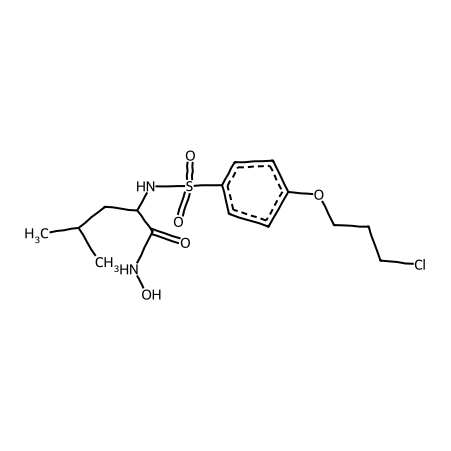 CC(C)CC(NS(=O)(=O)c1ccc(OCCCCl)cc1)C(=O)NO